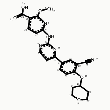 COc1nc(Nc2nccc(-c3ccc(OC4CCOCC4)c(C#N)c3)n2)ccc1C(=O)O